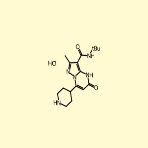 Cc1nn2c(C3CCNCC3)cc(=O)[nH]c2c1C(=O)NC(C)(C)C.Cl